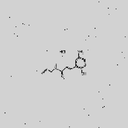 C=CCNC(=O)C=Cc1cc(N)ccc1O.Cl